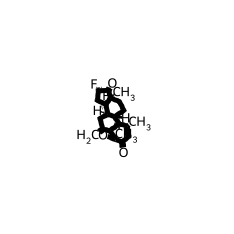 C=C1C[C@H]2[C@@H]3C[C@@H](F)C(=O)[C@@]3(C)CC[C@@H]2[C@@]2(C)C(C)=CC(=O)C3OC132